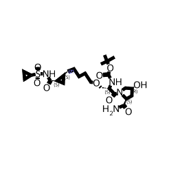 CC(C)(C)OC(=O)N[C@@H](COCCC/C=C\[C@@H]1C[C@@H]1C(=O)NS(=O)(=O)C1CC1)C(=O)N1C[C@H](O)C[C@H]1C(N)=O